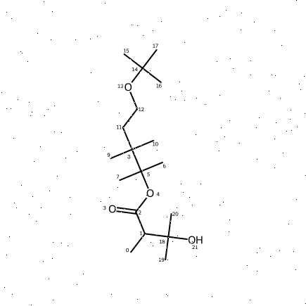 CC(C(=O)OC(C)(C)C(C)(C)CCOC(C)(C)C)C(C)(C)O